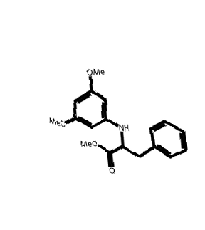 COC(=O)C(Cc1ccccc1)Nc1cc(OC)cc(OC)c1